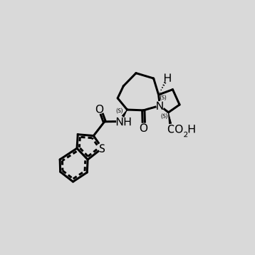 O=C(N[C@H]1CCCC[C@H]2CC[C@@H](C(=O)O)N2C1=O)c1cc2ccccc2s1